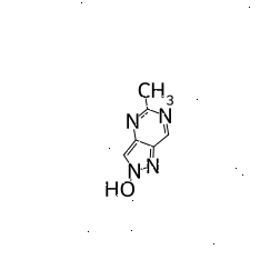 Cc1ncc2nn(O)cc2n1